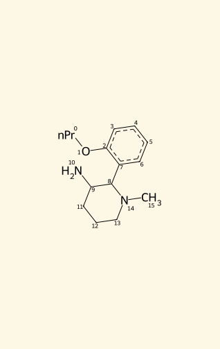 CCCOc1ccccc1C1C(N)CCCN1C